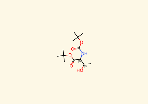 C[C@H](O)[C@H](NC(=O)OC(C)(C)C)C(=O)OC(C)(C)C